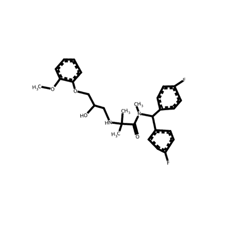 COc1ccccc1OCC(O)CNC(C)(C)C(=O)N(C)C(c1ccc(F)cc1)c1ccc(F)cc1